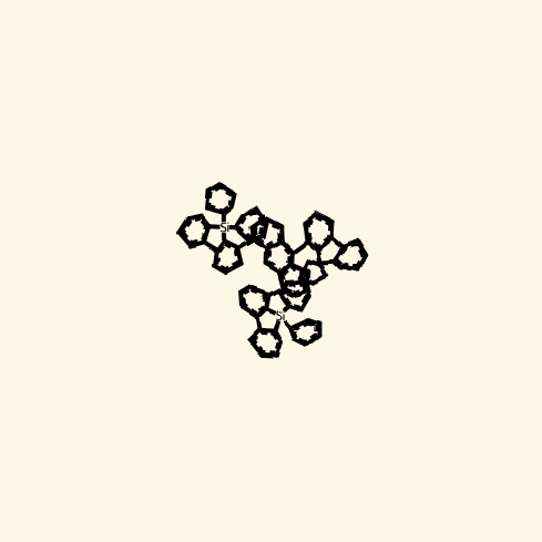 c1ccc([Si]2(c3ccccc3)c3ccccc3-c3cccc(-c4cccc5c(-c6cccc7c6C6(CCCC6)c6ccccc6-7)c6cccc(-c7cccc8c7[Si](c7ccccc7)(c7ccccc7)c7ccccc7-8)c6cc45)c32)cc1